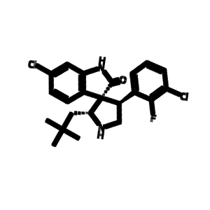 CC(C)(C)C[C@H]1NC[C@H](c2cccc(Cl)c2F)[C@@]12C(=O)Nc1cc(Cl)ccc12